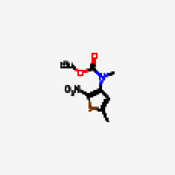 Cc1cc(N(C)C(=O)OC(C)(C)C)c([N+](=O)[O-])s1